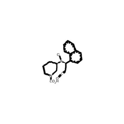 O=C=C[C@H](c1cccc2ccccc12)N(Cl)[C@@H]1CCCN(C(=O)O)C1